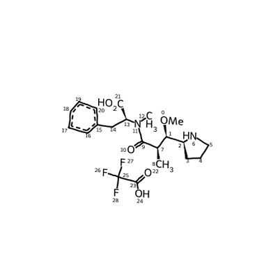 CO[C@@H]([C@@H]1CCCN1)[C@@H](C)C(=O)N(C)[C@@H](Cc1ccccc1)C(=O)O.O=C(O)C(F)(F)F